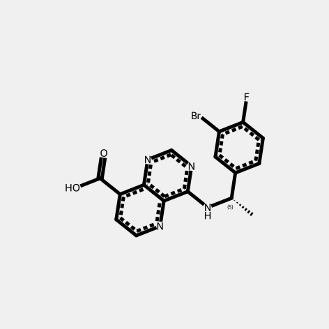 C[C@H](Nc1ncnc2c(C(=O)O)ccnc12)c1ccc(F)c(Br)c1